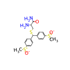 C[S+]([O-])c1ccc(C(SCC(N)C(N)=O)c2ccc([S+](C)[O-])cc2)cc1